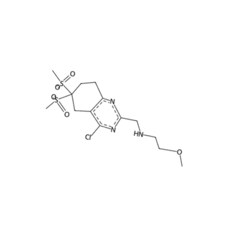 COCCNCc1nc(Cl)c2c(n1)CCC(S(C)(=O)=O)(S(C)(=O)=O)C2